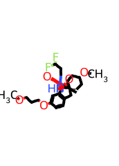 COCCCOc1ccc2c(c1)C1(NC(=O)N(CC(F)F)C1=O)[C@]1(CC[C@H](OC)CC1)C2